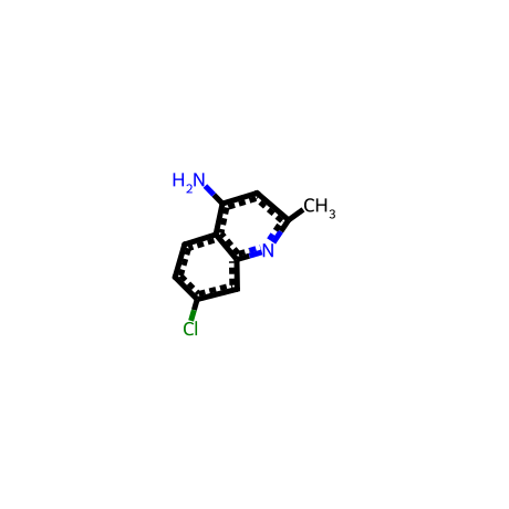 Cc1cc(N)c2ccc(Cl)cc2n1